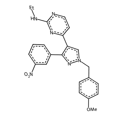 CCNc1nccc(-c2cn(Cc3ccc(OC)cc3)nc2-c2cccc([N+](=O)[O-])c2)n1